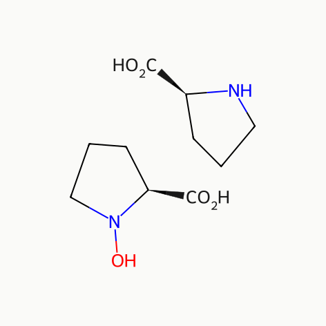 O=C(O)[C@@H]1CCCN1.O=C(O)[C@@H]1CCCN1O